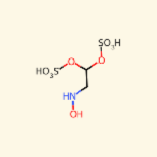 O=S(=O)(O)OC(CNO)OS(=O)(=O)O